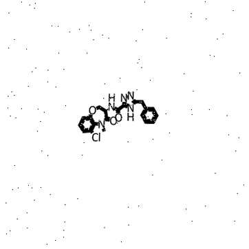 CN1C(=O)[C@@H](NC(=O)c2nnc(Cc3ccccc3)[nH]2)COc2cccc(Cl)c21